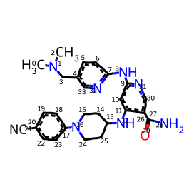 CN(C)Cc1ccc(Nc2cc(NC3CCN(c4ccc(C#N)cc4)CC3)c(C(N)=O)cn2)nc1